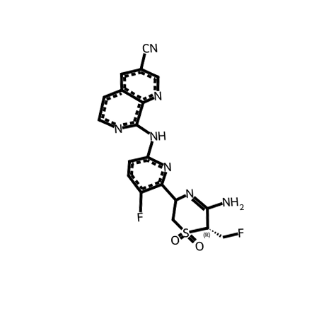 N#Cc1cnc2c(Nc3ccc(F)c(C4CS(=O)(=O)[C@@H](CF)C(N)=N4)n3)nccc2c1